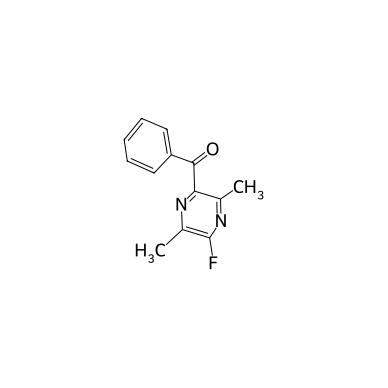 Cc1nc(C(=O)c2ccccc2)c(C)nc1F